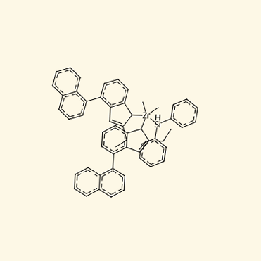 CCC1=Cc2c(-c3cccc4ccccc34)cccc2[CH]1[Zr]([CH3])([CH3])([CH]1C(CC)=Cc2c(-c3cccc4ccccc34)cccc21)[SiH](c1ccccc1)c1ccccc1